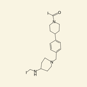 O=C(I)N1CCC(c2ccc(CN3CCC(NCI)CC3)cc2)CC1